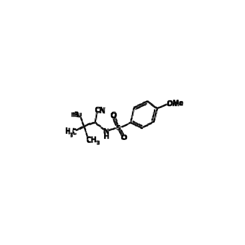 CCCCC(C)(C)C(C#N)NS(=O)(=O)c1ccc(OC)cc1